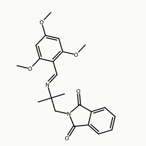 COc1cc(OC)c(C=NC(C)(C)CN2C(=O)c3ccccc3C2=O)c(OC)c1